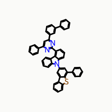 c1ccc(-c2cccc(-c3cc(-c4ccccc4)nc(-c4cccc5c4c4ccccc4n5-c4cc(-c5ccccc5)c5sc6ccccc6c5c4)n3)c2)cc1